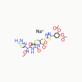 CCON=C(C(=O)N[C@@H]1C(=O)N2C(C(=O)[O-])=C(CSc3nnc(-c4ccc(OC(C)=O)c(OC(C)=O)c4)s3)CS[C@@H]12)c1csc(N)n1.[Na+]